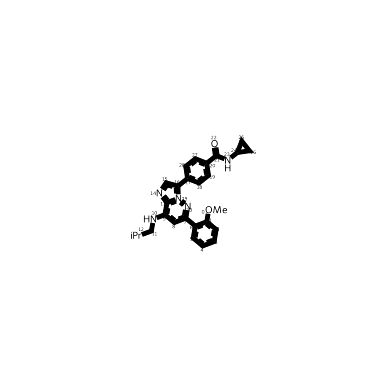 COc1ccccc1-c1cc(NCC(C)C)c2ncc(-c3ccc(C(=O)NC4CC4)cc3)n2n1